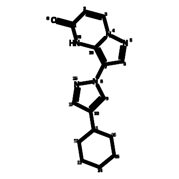 O=c1ccn2ncc(-n3cc(C4CCCCC4)cn3)c2[nH]1